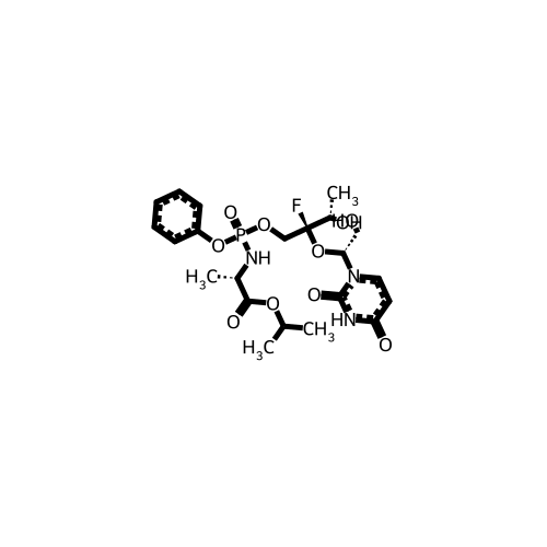 CC(C)OC(=O)[C@H](C)NP(=O)(OC[C@@](F)(O[C@H](CO)n1ccc(=O)[nH]c1=O)[C@H](C)O)Oc1ccccc1